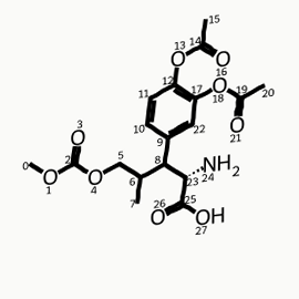 COC(=O)OCC(C)C(c1ccc(OC(C)=O)c(OC(C)=O)c1)[C@H](N)C(=O)O